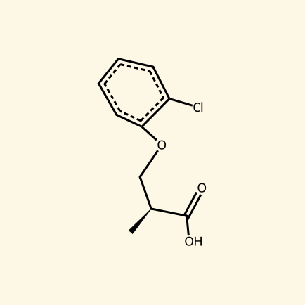 C[C@@H](COc1ccccc1Cl)C(=O)O